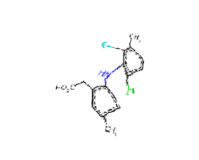 Cc1ccc(Nc2c(Cl)ccc(C)c2F)c(CC(=O)O)c1